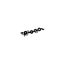 CCCC1CCC(C2CCC(c3ccc(COc4ccc(OCC)c(F)c4F)cc3)CO2)CC1